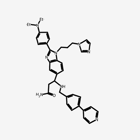 [CH2][CH]N([CH][CH2])c1ccc(-c2nc3cc(C(CC(N)=O)NCc4ccc(-c5ccncc5)cc4)ccc3n2CCCn2ccnc2)cc1